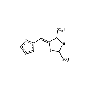 O=S(=O)(O)C1NC(S(=O)(=O)O)C(=Cc2cc[c]o2)S1